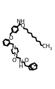 CCCCCCCCCCOC(=N)c1ccc(COc2ccccc2CN2CCN(C(=O)CNC(=O)CC34CC5CC(CC3C5)C4)CC2)cc1